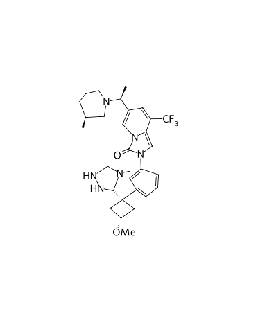 CO[C@H]1C[C@@](c2cccc(-n3cc4c(C(F)(F)F)cc([C@H](C)N5CCC[C@H](C)C5)cn4c3=O)c2)(C2NNCN2C)C1